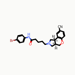 N#Cc1ccc2c(c1)[C@H]1CN(CCCCC(=O)Nc3ccc(Br)cc3)C[C@@H]1CO2